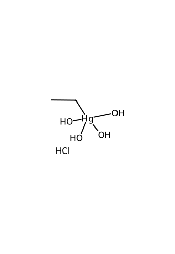 C[CH2][Hg]([OH])([OH])([OH])[OH].Cl